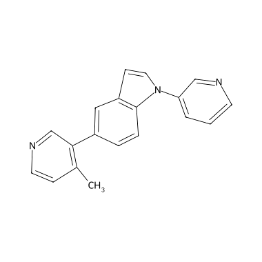 Cc1ccncc1-c1ccc2c(ccn2-c2cccnc2)c1